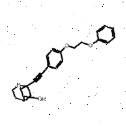 OC1C2CCN(CC2)C1C#Cc1ccc(OCCOc2ccccc2)cc1